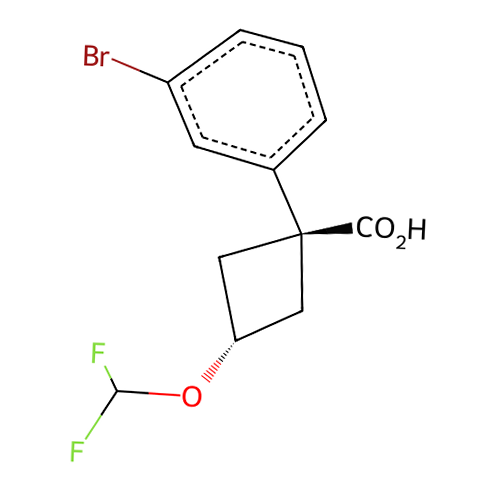 O=C(O)[C@]1(c2cccc(Br)c2)C[C@@H](OC(F)F)C1